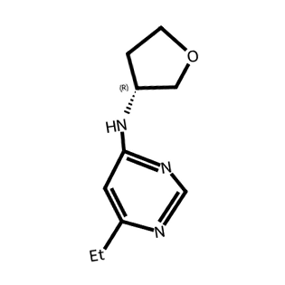 CCc1cc(N[C@@H]2CCOC2)ncn1